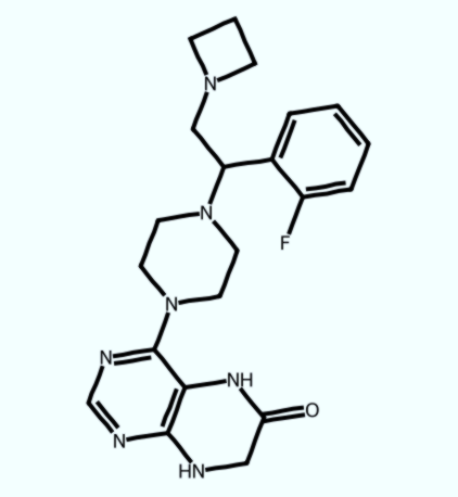 O=C1CNc2ncnc(N3CCN(C(CN4CCC4)c4ccccc4F)CC3)c2N1